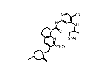 C=C1CN(C)CCN1Cc1cc2c(nc1C=O)N(C(=O)Nc1cc(NC(C)CSC)c(C#N)cn1)CCC2